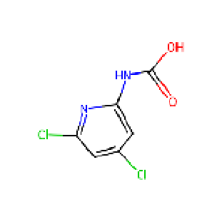 O=C(O)Nc1cc(Cl)cc(Cl)n1